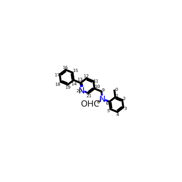 Cc1ccccc1N(C=O)Cc1ccc(-c2ccccc2)nc1